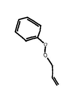 C=C[CH]OOc1ccccc1